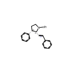 CCCN1CC[C@@H](c2ccccc2)[C@H]1/C=C/c1ccccc1